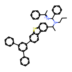 CCCN(C(C)c1ccc2sc3cc(-c4cc(-c5ccccc5)cc(-c5ccccc5)c4)ccc3c2c1)C(/N=C(\C)c1ccccc1)c1ccccc1